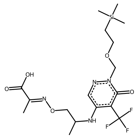 C/C(=N\OCC(C)Nc1cnn(COCC[Si](C)(C)C)c(=O)c1C(F)(F)F)C(=O)O